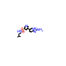 CC(C)CCNS(=O)(=O)c1cncc(-c2ccc3nc(N)nn3c2)c1